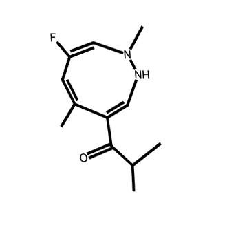 Cc1cc(F)cn(C)[nH]cc1C(=O)C(C)C